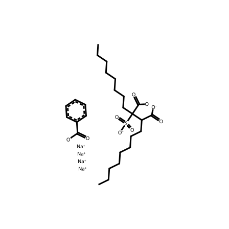 CCCCCCCCC(C(=O)[O-])C(CCCCCCCC)(C(=O)[O-])S(=O)(=O)[O-].O=C([O-])c1ccccc1.[Na+].[Na+].[Na+].[Na+]